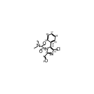 CN(C)S(=O)(=O)n1c(C=O)nc(Cl)c1-c1ccccc1